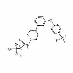 CC(C)(C)OC(=O)NC1CCN(c2cc(Oc3ccc(C(F)(F)F)cc3)ccn2)CC1